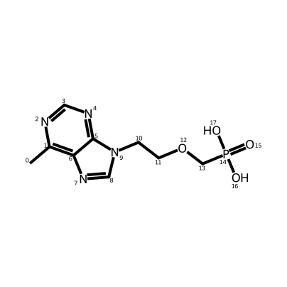 Cc1ncnc2c1ncn2CCOCP(=O)(O)O